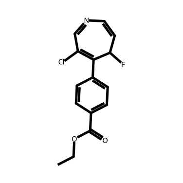 CCOC(=O)c1ccc(C2=C(Cl)C=NC=CC2F)cc1